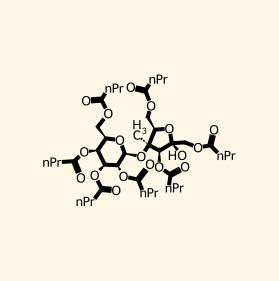 CCCC(=O)OC[C@H]1O[C@@H](O[C@@]2(C)[C@@H](COC(=O)CCC)O[C@](O)(COC(=O)CCC)[C@H]2OC(=O)CCC)[C@H](OC(=O)CCC)[C@@H](OC(=O)CCC)[C@H]1OC(=O)CCC